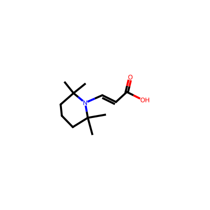 CC1(C)CCCC(C)(C)N1C=CC(=O)O